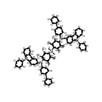 C[Si](C)(c1c(F)c(F)c(N(c2ccc(-c3ccccc3)cc2)c2ccc3c(c2)c2ccccc2n3-c2ccccc2)c(F)c1F)c1c(F)c(F)c(N(c2ccc(-c3ccccc3)cc2)c2ccc3c(c2)c2ccccc2n3-c2ccccc2)c(F)c1F